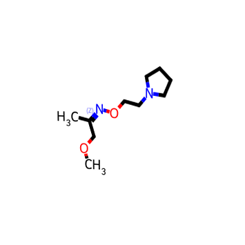 COC/C(C)=N\OCCN1CCCC1